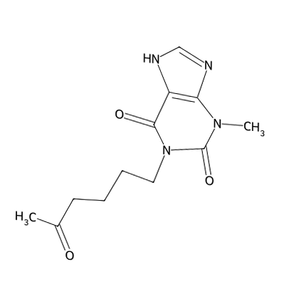 CC(=O)CCCCn1c(=O)c2[nH]cnc2n(C)c1=O